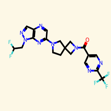 O=C(c1cnc(C(F)(F)F)nc1)N1CC2(CCN(c3cnc4cnn(CC(F)F)c4n3)C2)C1